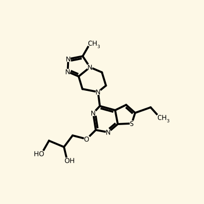 CCc1cc2c(N3CCn4c(C)nnc4C3)nc(OCC(O)CO)nc2s1